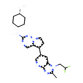 CO[C@H]1CC[C@H](Nc2ncc3c(-c4cnc5nc(C)n(CC(F)F)c5c4)ccn3n2)CC1